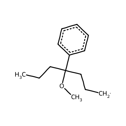 [CH2]CCC(CCC)(OC)c1ccccc1